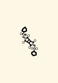 O=C1C2C(C(=O)N1OS(=O)(=O)c1ccccc1)C1C(=O)N(OS(=O)(=O)c3ccccc3)C(=O)C21